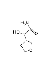 NC(=O)C(O)C1CCOC1